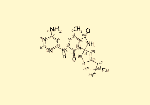 Cc1cc(Nc2cc(N)ncn2)c(=O)n2c1C(=O)NC21C=C(CC(F)(F)F)CC1